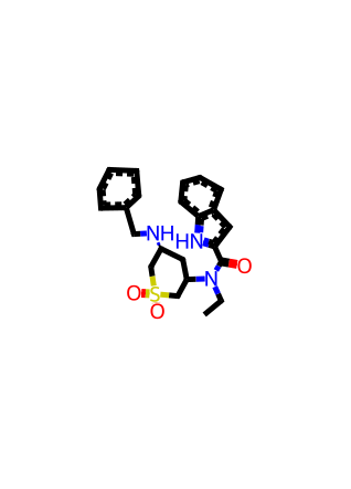 CCN(C(=O)c1cc2ccccc2[nH]1)C1C[C@@H](NCc2ccccc2)CS(=O)(=O)C1